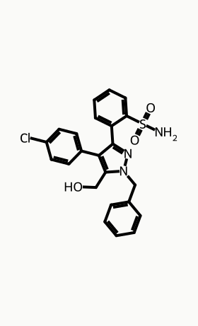 NS(=O)(=O)c1ccccc1-c1nn(Cc2ccccc2)c(CO)c1-c1ccc(Cl)cc1